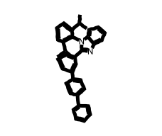 CC(C)c1cccc(C(C)C)c1-n1c(-c2cccc(-c3ccc(-c4ccccc4)cc3)c2)nc2ccccc21